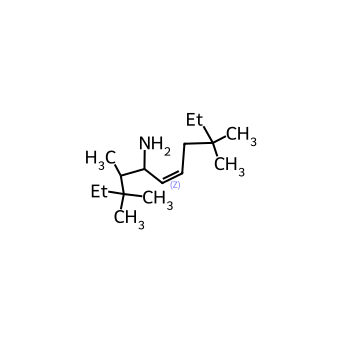 CCC(C)(C)C/C=C\C(N)C(C)C(C)(C)CC